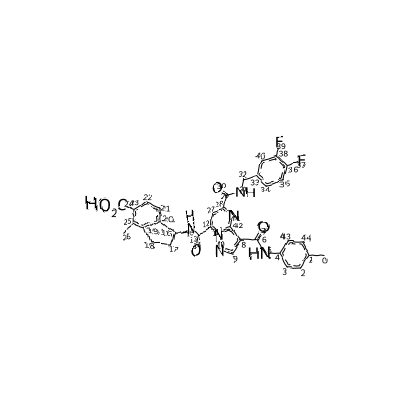 Cc1ccc(NC(=O)c2cnn3c(C(=O)N[C@H]4CCc5c4ccc(C(=O)O)c5C)cc(C(=O)NCc4ccc(F)c(F)c4)nc23)cc1